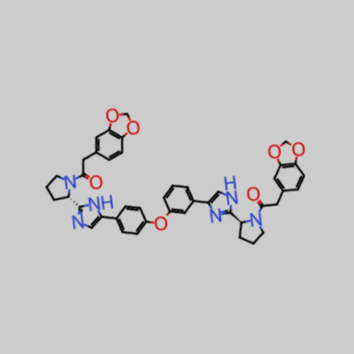 O=C(Cc1ccc2c(c1)OCO2)N1CCC[C@H]1c1nc(-c2cccc(Oc3ccc(-c4cnc([C@@H]5CCCN5C(=O)Cc5ccc6c(c5)OCO6)[nH]4)cc3)c2)c[nH]1